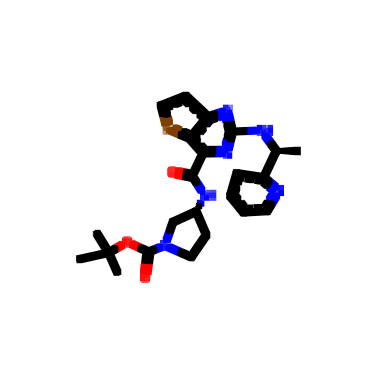 C[C@H](Nc1nc(C(=O)N[C@@H]2CCN(C(=O)OC(C)(C)C)C2)c2sccc2n1)c1ccccn1